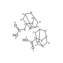 O=C(O)C12CC3CC(CC(C3)C1)C2.O=C(O)CC12CC3CC(CC(C3)C1)C2